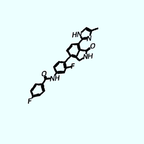 Cc1c[nH]c(-c2ccc(-c3ccc(NC(=O)c4ccc(F)cc4)cc3F)c3c2C(=O)NC3)n1